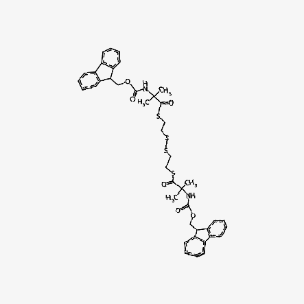 CC(C)(NC(=O)OCC1c2ccccc2-c2ccccc21)C(=O)SCCSSCCSC(=O)C(C)(C)NC(=O)OCC1c2ccccc2-c2ccccc21